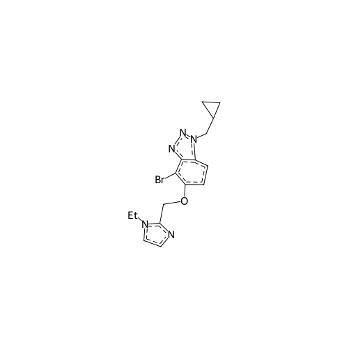 CCn1ccnc1COc1ccc2c(nnn2CC2CC2)c1Br